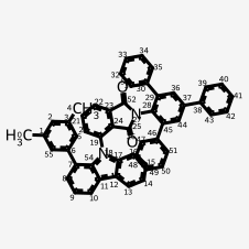 Cc1cc(C)cc(-c2cccc3c4ccccc4n(-c4cccc5c4C(=O)N(c4c(-c6ccccc6)cc(-c6ccccc6)cc4-c4ccccc4)C5=O)c23)c1